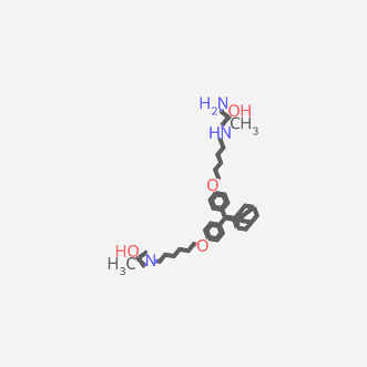 CC(O)(CN)CNCCCCCCOc1ccc(C(=C2C3CC4CC(C3)CC2C4)c2ccc(OCCCCCCN3CC(C)(O)C3)cc2)cc1